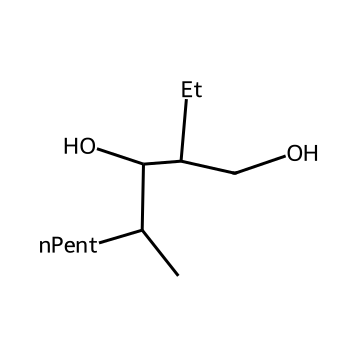 CCCCCC(C)C(O)C(CC)CO